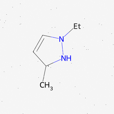 CCN1C=C[C](C)N1